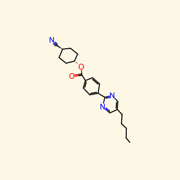 CCCCCc1cnc(-c2ccc(C(=O)O[C@H]3CC[C@H](C#N)CC3)cc2)nc1